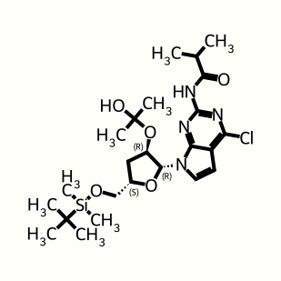 CC(C)C(=O)Nc1nc(Cl)c2ccn([C@@H]3O[C@H](CO[Si](C)(C)C(C)(C)C)C[C@H]3OC(C)(C)O)c2n1